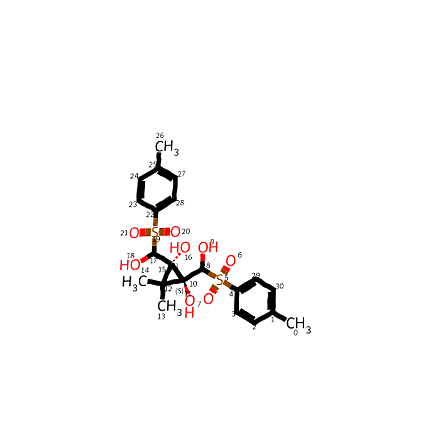 Cc1ccc(S(=O)(=O)C(O)[C@]2(O)C(C)(C)[C@@]2(O)C(O)S(=O)(=O)c2ccc(C)cc2)cc1